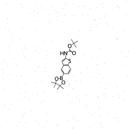 CC(C)(C)OC(=O)Nc1cc2cc(B3OC(C)(C)C(C)(C)O3)ccc2s1